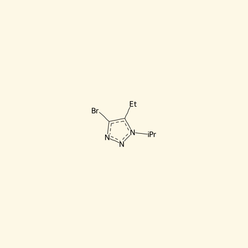 CCc1c(Br)nnn1C(C)C